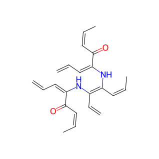 C=C/C=C(/N/C(C=C)=C(/C=C\C)N/C(=C/C=C)C(=O)/C=C\C)C(=O)/C=C\C